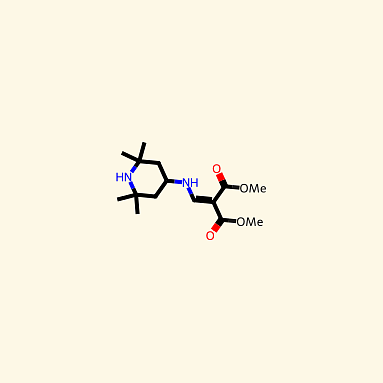 COC(=O)C(=CNC1CC(C)(C)NC(C)(C)C1)C(=O)OC